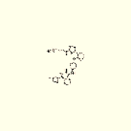 Cc1csc(C2=c3ccccc3=C(Nc3ccc(Oc4ncccc4-c4ccnc(NCCC[Si](C)(C)O)n4)cc3)NN2)c1